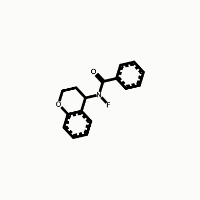 O=C(c1ccccc1)N(F)C1CCOc2ccccc21